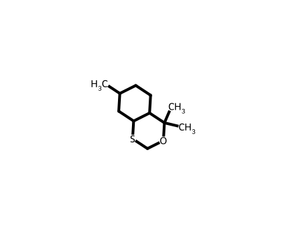 CC1CCC2C(C1)SCOC2(C)C